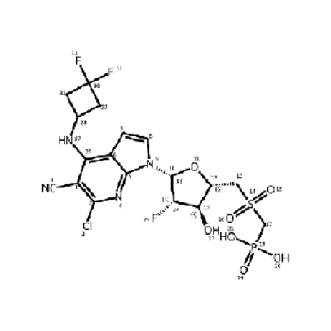 N#Cc1c(Cl)nc2c(ccn2[C@@H]2O[C@H](CS(=O)(=O)CP(=O)(O)O)[C@@H](O)[C@@H]2F)c1NC1CC(F)(F)C1